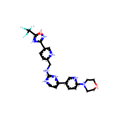 FC(F)(F)c1nc(-c2ccc(CNc3nccc(-c4ccc(N5CCOCC5)nc4)n3)nc2)no1